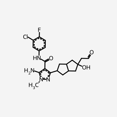 Cn1nc(C2CC3CC(O)(CC=O)CC3C2)c(C(=O)Nc2ccc(F)c(Cl)c2)c1N